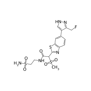 CS(=O)(=O)C(C(=O)NCCS(N)(=O)=O)c1nc2ccc(-c3c[nH]nc3CF)cc2s1